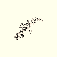 CC(OC(=O)Nc1ccc(CN)cc1)c1cccc2c(-c3ccc(CS(C)(=O)=O)c(F)c3)c(C(=O)O)[nH]c12